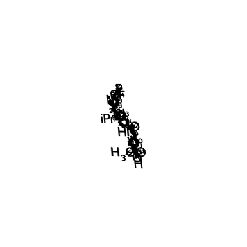 CC(C)[C@@H]1c2ccc(C(=O)NCc3ccc(C(C)[SH](=O)=O)cc3)cc2CCN1Cc1ccc(OC(F)F)nc1